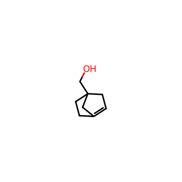 OCC12CC=C(CC1)C2